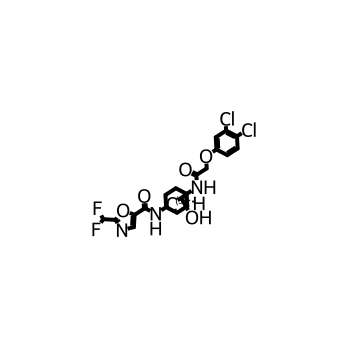 O=C(COc1ccc(Cl)c(Cl)c1)NC12CCC(NC(=O)c3cnc(C(F)F)o3)(CC1)C[C@@H]2O